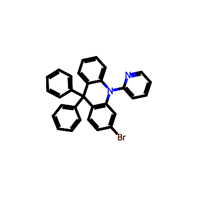 Brc1ccc2c(c1)N(c1ccccn1)c1ccccc1C2(c1ccccc1)c1ccccc1